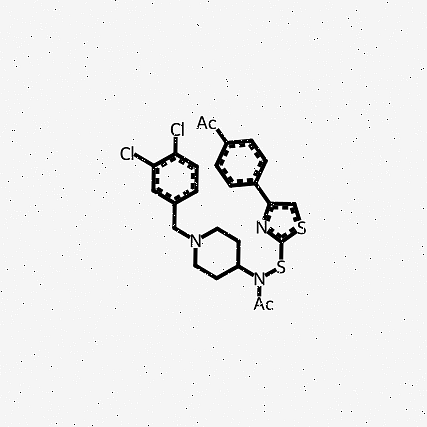 CC(=O)c1ccc(-c2csc(SN(C(C)=O)C3CCN(Cc4ccc(Cl)c(Cl)c4)CC3)n2)cc1